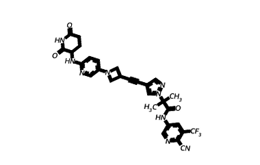 CC(C)(C(=O)Nc1cnc(C#N)c(C(F)(F)F)c1)n1cc(C#CC2CN(c3ccc(NC4CCC(=O)NC4=O)nc3)C2)cn1